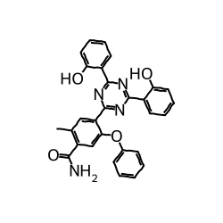 Cc1cc(-c2nc(-c3ccccc3O)nc(-c3ccccc3O)n2)c(Oc2ccccc2)cc1C(N)=O